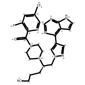 N#CCCC[C@H](Cn1cc(-c2ncnc3[nH]ccc23)cn1)N1CCN(C(=O)c2ncc(C(F)(F)F)cc2F)CC1